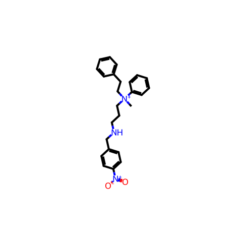 C[N+](CCCNCc1ccc([N+](=O)[O-])cc1)(CCc1ccccc1)c1ccccc1